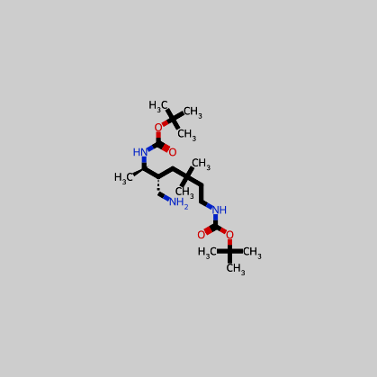 C[C@@H](NC(=O)OC(C)(C)C)[C@@H](CN)CC(C)(C)CCNC(=O)OC(C)(C)C